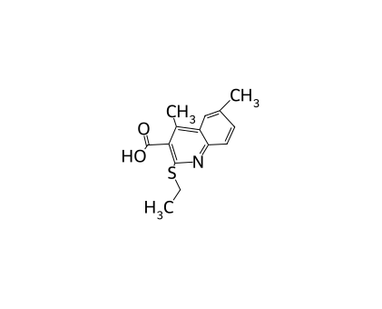 CCSc1nc2ccc(C)cc2c(C)c1C(=O)O